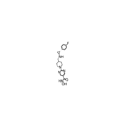 O=C(NO)c1cnc(N2CCC(CN[C@H]3C[C@@H]3c3ccc(F)cc3)CC2)nc1